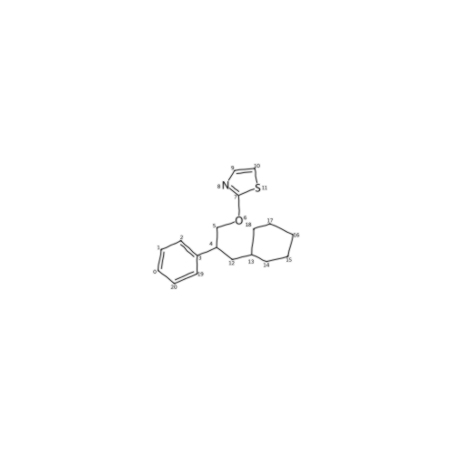 c1ccc(C(COc2nccs2)CC2CCCCC2)cc1